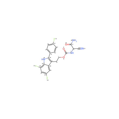 N#CC(NC(=O)OCCc1c(-c2ccc(F)cc2)[nH]c2c(F)cc(F)cc12)C(N)=O